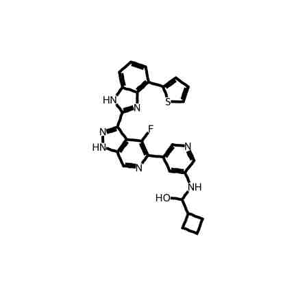 OC(Nc1cncc(-c2ncc3[nH]nc(-c4nc5c(-c6cccs6)cccc5[nH]4)c3c2F)c1)C1CCC1